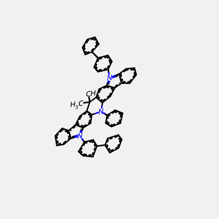 CC1(C)c2cc3c4ccccc4n(-c4cccc(-c5ccccc5)c4)c3cc2N(c2ccccc2)c2cc3c4ccccc4n(-c4ccc(-c5ccccc5)cc4)c3cc21